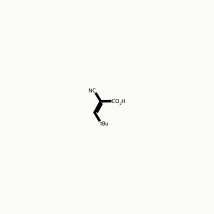 CC(C)(C)/C=C(/C#N)C(=O)O